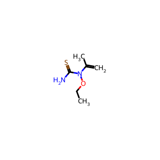 C=C(C)N(OCC)C(N)=S